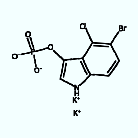 O=P([O-])([O-])Oc1c[nH]c2ccc(Br)c(Cl)c12.[K+].[K+]